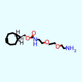 NCCOCCOCCNC(=O)OC[C@@H]1[C@@H]2CCC#CCC[C@@H]21